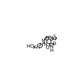 CC(C)(O)CN1CCN(c2nc(C3=C(c4c[nH]c5sccc45)C(=O)NC3=O)c3ccccc3n2)CC1